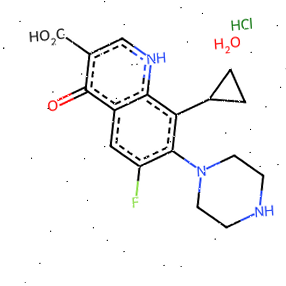 Cl.O.O=C(O)c1c[nH]c2c(C3CC3)c(N3CCNCC3)c(F)cc2c1=O